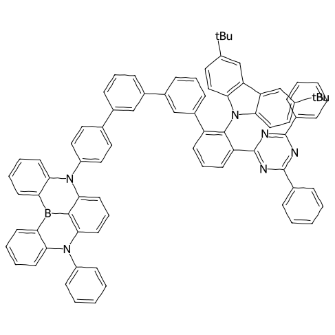 CC(C)(C)c1ccc2c(c1)c1cc(C(C)(C)C)ccc1n2-c1c(-c2cccc(-c3cccc(-c4ccc(N5c6ccccc6B6c7ccccc7N(c7ccccc7)c7cccc5c76)cc4)c3)c2)cccc1-c1nc(-c2ccccc2)nc(-c2ccccc2)n1